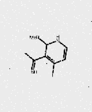 CNC1NC=CC(I)=C1C(C)=N